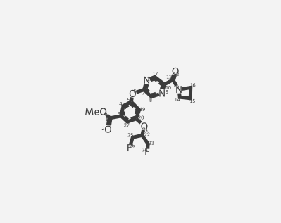 COC(=O)c1cc(Oc2cnc(C(=O)N3CCC3)cn2)cc(OC(CF)CF)c1